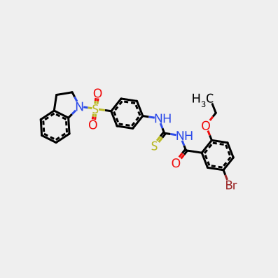 CCOc1ccc(Br)cc1C(=O)NC(=S)Nc1ccc(S(=O)(=O)N2CCc3ccccc32)cc1